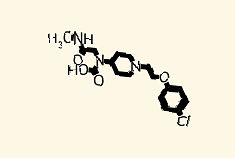 CNC(=O)CN(C(=O)O)C1CCN(CCOc2ccc(Cl)cc2)CC1